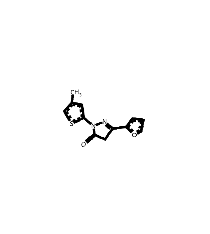 Cc1csc(N2N=C(c3ccco3)CC2=O)c1